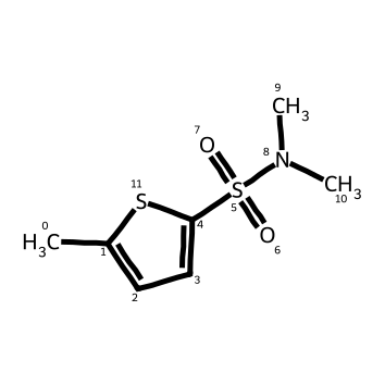 Cc1ccc(S(=O)(=O)N(C)C)s1